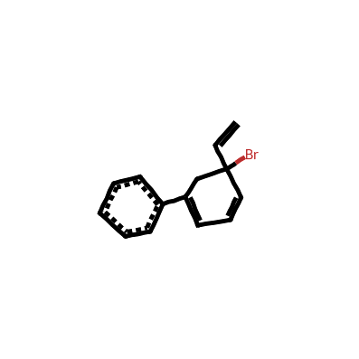 C=CC1(Br)C=CC=C(c2ccccc2)C1